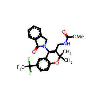 COC(=O)NCC1=C(N2Cc3ccccc3C2=O)c2cc(C(F)(F)C(F)(F)F)ccc2OC1(C)C